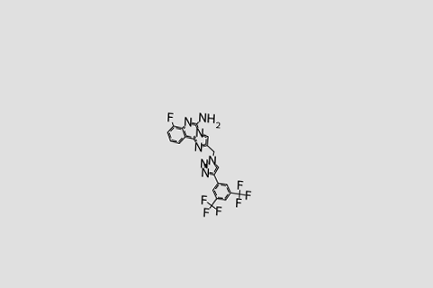 Nc1nc2c(F)cccc2c2nc(Cn3cc(-c4cc(C(F)(F)F)cc(C(F)(F)F)c4)nn3)cn12